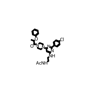 CC(=O)NCCNc1cc(N2CCN(C(=O)C(C)Oc3ccccc3)CC2)nc(-c2ccc(Cl)cc2)n1